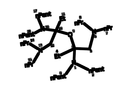 CCCCCN(CCCCC)C(CC)(CN(CCC)CCC)OC(CC)(CN(CCC)CCC)N(CCCCC)CCCCC